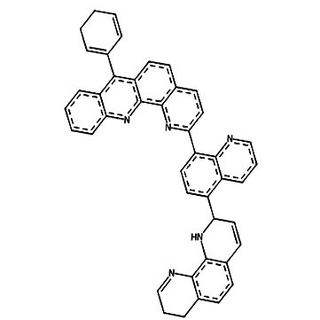 C1=CC(c2c3ccccc3nc3c2ccc2ccc(-c4ccc(C5C=Cc6ccc7c(c6N5)N=CCC7)c5cccnc45)nc23)=CCC1